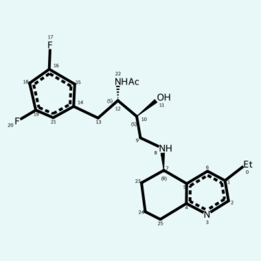 CCc1cnc2c(c1)[C@H](NC[C@H](O)[C@H](Cc1cc(F)cc(F)c1)NC(C)=O)CCC2